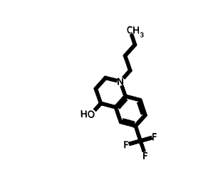 CCCCN1CCC(O)c2cc(C(F)(F)F)ccc21